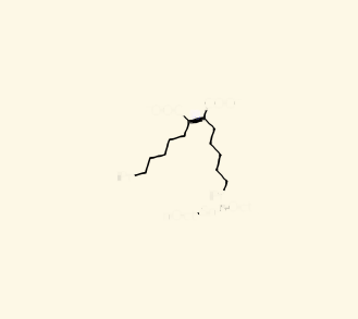 CC(C)CCCCC/C(C(=O)[O-])=C(\CCCCCC(C)C)C(=O)[O-].CCCCCCC[CH2][Sn+2][CH2]CCCCCCC